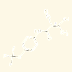 C/C(O)=C(/C#N)C(=O)Nc1ccc(OC(F)(F)F)cc1